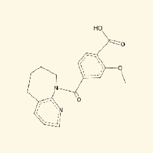 COc1cc(C(=O)N2CCCCc3cccnc32)ccc1C(=O)O